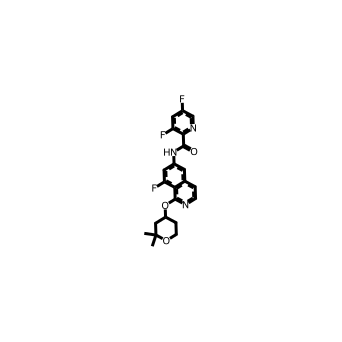 CC1(C)CC(Oc2nccc3cc(NC(=O)c4ncc(F)cc4F)cc(F)c23)CCO1